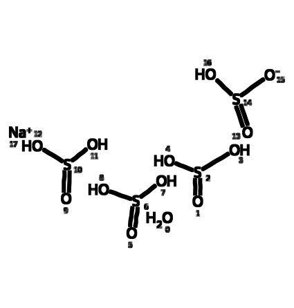 O.O=S(O)O.O=S(O)O.O=S(O)O.O=S([O-])O.[Na+]